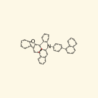 c1ccc(N(c2ccc(-c3cccc4ccccc34)cc2)c2ccc3ccccc3c2)c(-c2cccc3c2oc2ccccc23)c1